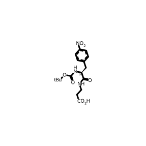 CC(C)(C)OC(=O)N[C@@H](Cc1ccc([N+](=O)[O-])cc1)C(=O)NCCC(=O)O